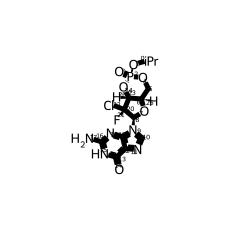 CC(C)O[P@]1(=O)OC[C@H]2O[C@@H](n3cnc4c(=O)[nH]c(N)nc43)[C@](F)(Cl)[C@@H]2O1